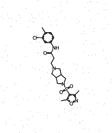 Cc1ccc(NC(=O)CCN2CC3CN(S(=O)(=O)c4c(C)noc4C)CC3C2)cc1Cl